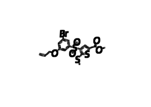 C=CCOc1cc(Br)cc(S(=O)(=O)c2cc(C(=O)OC)sc2SC)c1